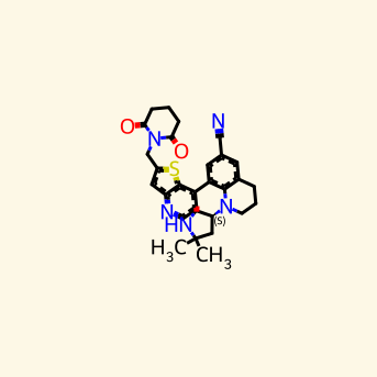 CC1(C)C[C@H](N2CCCc3cc(C#N)cc(-c4ccnc5cc(CN6C(=O)CCCC6=O)sc45)c32)CN1